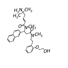 CN(CCc1ccccc1OCCO)C(=O)CC(c1ccc2ccccc2c1)N(C)C(=O)/C=C/CC(C)(C)N